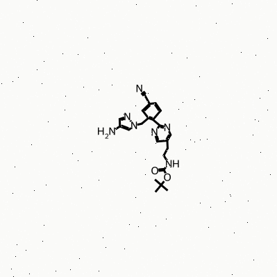 CC(C)(C)OC(=O)NCCc1cnc(-c2ccc(C#N)cc2Cn2cc(N)cn2)nc1